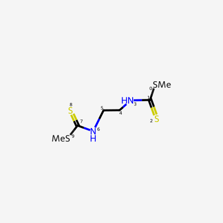 CSC(=S)NCCNC(=S)SC